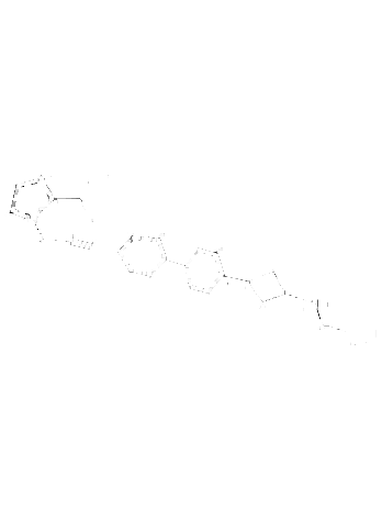 CC(O)c1nccn1CC#Cc1ccc(-c2ccc(C3CC(NCC(=O)O)C3)cc2)cc1